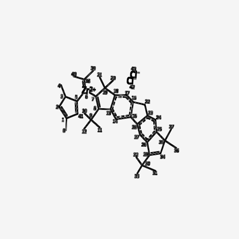 CC1=CC(C)[C]([Zr+2]([C]2=C(C(C)(C)C)c3cc4c(cc3C2(C)C)Cc2cc3c(cc2-4)C(C(C)(C)C)=CC3(C)C)=[C](C)C)=C1.[Cl-].[Cl-]